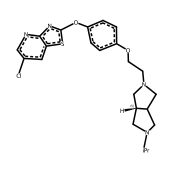 CC(C)N1CC2CN(CCOc3ccc(Oc4nc5ncc(Cl)cc5s4)cc3)C[C@H]2C1